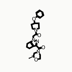 C[C@H]1CN(C(=O)c2nn(CC(=O)N3CCC(Oc4ccccc4)CC3)c3c2CCC3)CCO1